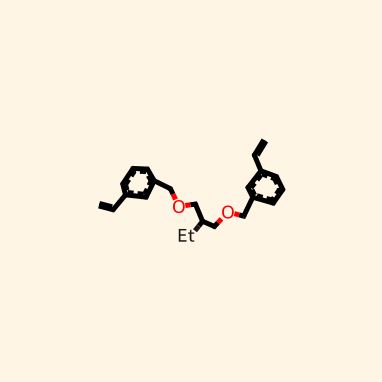 C=Cc1cccc(COCC(CC)COCc2cccc(C=C)c2)c1